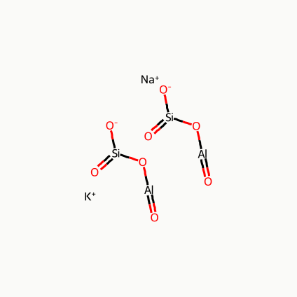 [K+].[Na+].[O]=[Al][O][Si](=O)[O-].[O]=[Al][O][Si](=O)[O-]